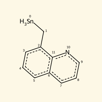 [SnH3][CH2]c1cccc2cccnc12